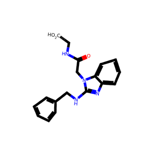 O=C(O)CNC(=O)Cn1c(NCc2ccccc2)nc2ccccc21